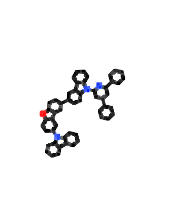 c1ccc(-c2cc(-c3ccccc3)nc(-n3c4ccccc4c4cc(-c5ccc6oc7ccc(-n8c9ccccc9c9ccccc98)cc7c6c5)ccc43)c2)cc1